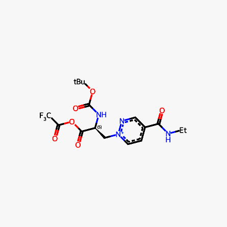 CCNC(=O)c1cc[n+](C[C@H](NC(=O)OC(C)(C)C)C(=O)OC(=O)C(F)(F)F)nc1